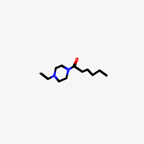 [CH2]CN1CCN(C(=O)CCCCC)CC1